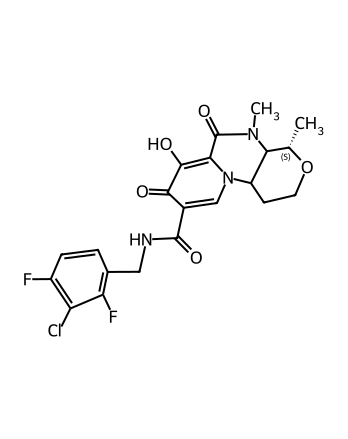 C[C@@H]1OCCC2C1N(C)C(=O)c1c(O)c(=O)c(C(=O)NCc3ccc(F)c(Cl)c3F)cn12